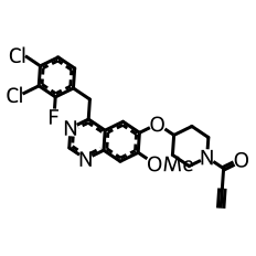 C#CC(=O)N1CCC(Oc2cc3c(Cc4ccc(Cl)c(Cl)c4F)ncnc3cc2OC)CC1